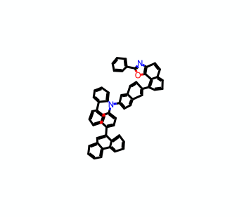 c1ccc(-c2nc3ccc4cccc(-c5ccc6cc(N(c7ccc(-c8cc9ccccc9c9ccccc89)cc7)c7ccccc7-c7ccccc7)ccc6c5)c4c3o2)cc1